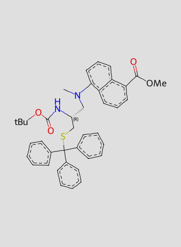 COC(=O)c1cccc2c(N(C)C[C@H](CSC(c3ccccc3)(c3ccccc3)c3ccccc3)NC(=O)OC(C)(C)C)cccc12